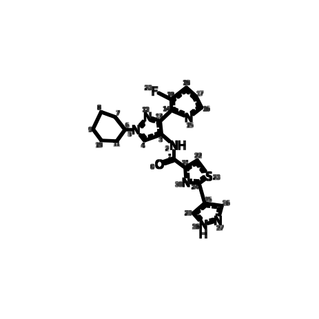 O=C(Nc1cn(C2CCCCC2)nc1-c1ncccc1F)c1csc(-c2cn[nH]c2)n1